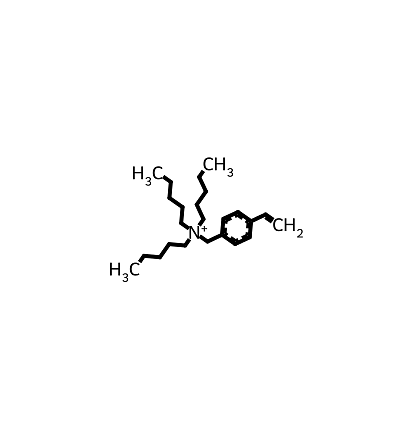 C=Cc1ccc(C[N+](CCCCC)(CCCCC)CCCCC)cc1